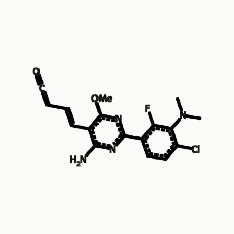 COc1nc(-c2ccc(Cl)c(N(C)C)c2F)nc(N)c1C=CC=C=O